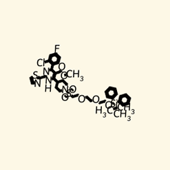 COC(=O)C1=C(C2CCN(S(=O)(=O)CCOCCOCCO[Si](c3ccccc3)(c3ccccc3)C(C)(C)C)CC2)NC(c2nccs2)=NC1c1ccc(F)cc1Cl